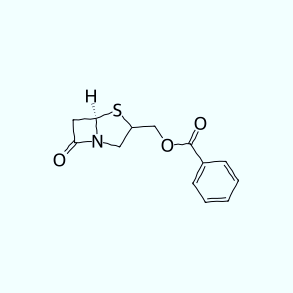 O=C(OCC1CN2C(=O)C[C@H]2S1)c1ccccc1